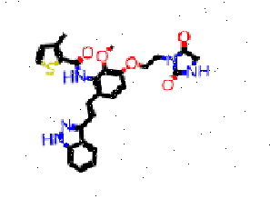 COc1c(OCCN2C(=O)CNC2=O)ccc(/C=C/c2n[nH]c3ccccc23)c1NC(=O)c1sccc1C